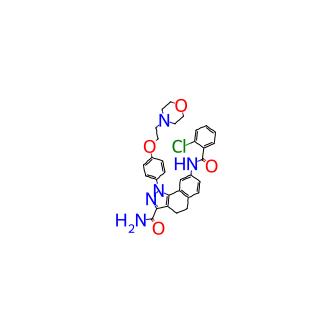 NC(=O)c1nn(-c2ccc(OCCN3CCOCC3)cc2)c2c1CCc1ccc(NC(=O)c3ccccc3Cl)cc1-2